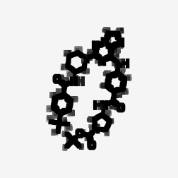 CC(C)(C)OC(=O)N1CC[C@@H](NC(=O)c2ccc(Nc3nc(N4CCC[C@@H](NC(=O)c5ccc(C(C)(C)C)cc5)C4)nn4ccnc34)cc2)C1